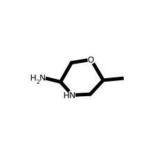 CC1CNC(N)CO1